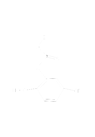 CCOC(=S)Sc1cc(C(F)(F)F)ccc1C(=O)O